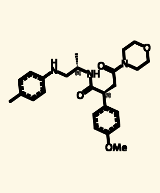 COc1ccc([C@H](CC(=O)N2CCOCC2)C(=O)N[C@@H](C)CNc2ccc(C)cc2)cc1